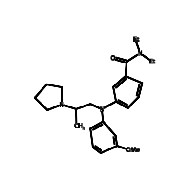 CCN(CC)C(=O)c1cccc(N(CC(C)N2CCCC2)c2cccc(OC)c2)c1